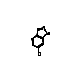 Clc1ccc2cn[se]c2c1